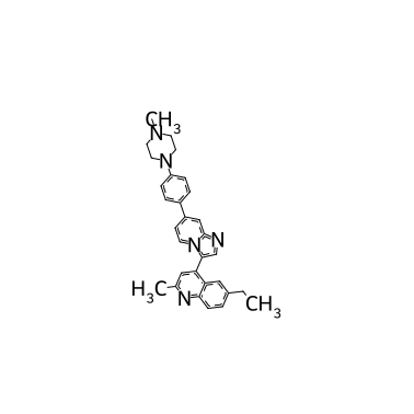 CCc1ccc2nc(C)cc(-c3cnc4cc(-c5ccc(N6CCN(C)CC6)cc5)ccn34)c2c1